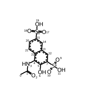 CC(=O)Nc1c(O)c(S(=O)(=O)O)cc2cc(S(=O)(=O)O)ccc12